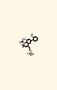 COc1ccccc1-c1ccc2c(c1)C(CCOS(C)(=O)=O)=CC(C)(C)N2C(=O)O